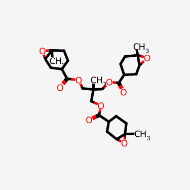 CC(COC(=O)C1CCC2(C)OC2C1)(COC(=O)C1CCC2(C)OC2C1)COC(=O)C1CCC2(C)OC2C1